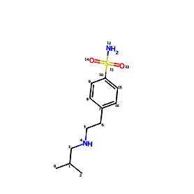 CC(C)CNCCc1ccc(S(N)(=O)=O)cc1